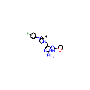 Nc1ncc(CN2CC3C[C@H]2CN3c2ccc(F)cc2)c2nc(-c3ccco3)nn12